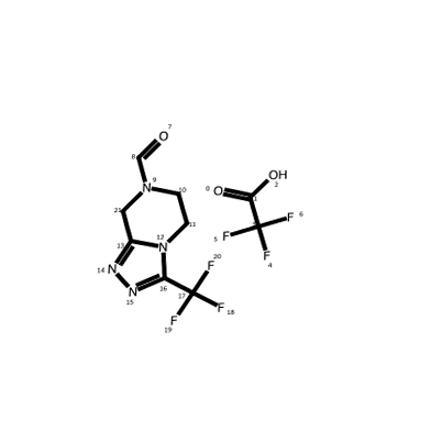 O=C(O)C(F)(F)F.O=CN1CCn2c(nnc2C(F)(F)F)C1